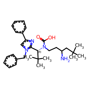 CC(C)(C)CC(N)CCN(C(=O)O)[C@@H](c1nc(-c2ccccc2)cn1Cc1ccccc1)C(C)(C)C